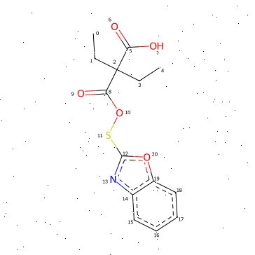 CCC(CC)(C(=O)O)C(=O)OSc1nc2ccccc2o1